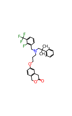 CC(C)(CN(CCCOc1ccc2c(c1)CC(=O)OC2)Cc1cccc(C(F)(F)F)c1F)c1ccccc1